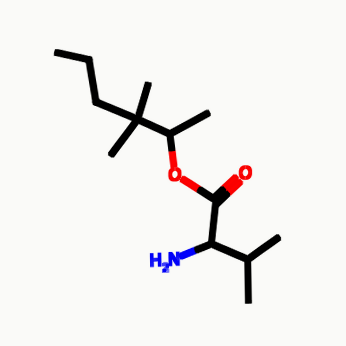 CCCC(C)(C)C(C)OC(=O)C(N)C(C)C